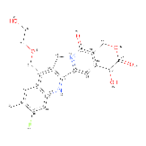 Cc1cc2c(COCCO)c3c(nc2cc1F)-c1cc2c(c(=O)n1C3)COC(=O)C2O